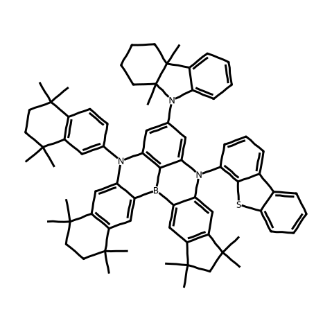 CC1(C)CCC(C)(C)c2cc(N3c4cc5c(cc4B4c6cc7c(cc6N(c6cccc8c6sc6ccccc68)c6cc(N8c9ccccc9C9(C)CCCCC89C)cc3c64)C(C)(C)CC7(C)C)C(C)(C)CCC5(C)C)ccc21